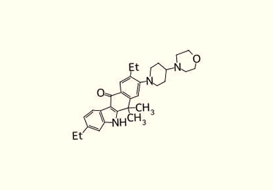 CCc1ccc2c3c([nH]c2c1)C(C)(C)c1cc(N2CCC(N4CCOCC4)CC2)c(CC)cc1C3=O